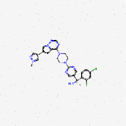 Cn1cc(-c2cc3c(N4CCN(c5ncc([C@](C)(N)c6ccc(Cl)cc6F)cn5)CC4)ncnn3c2)cn1